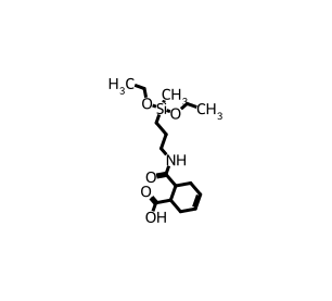 CCO[Si](C)(CCCNC(=O)C1CC=CCC1C(=O)O)OCC